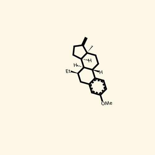 C=C1CC[C@@H]2[C@@H]3[C@H](CC)Cc4cc(OC)ccc4[C@H]3CC[C@]12C